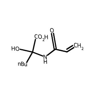 C=CC(=O)NC(O)(CCCC)C(=O)O